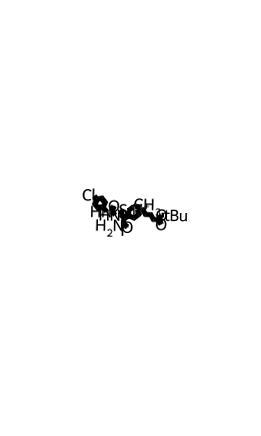 CC(C)(C)OC(=O)CCCC[N+]1(C)CCc2c(sc(NC(=O)Nc3ccc(Cl)cc3)c2C(N)=O)C1.[I-]